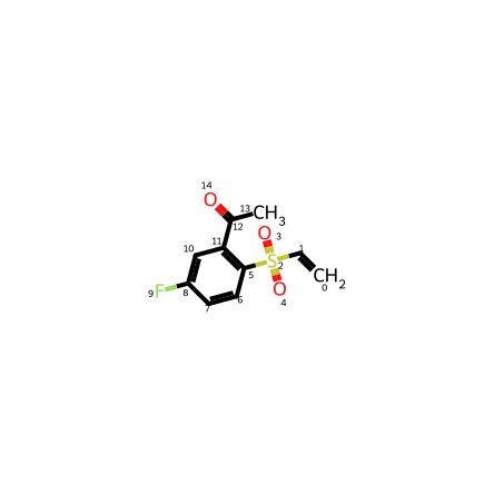 C=CS(=O)(=O)c1ccc(F)cc1C(C)=O